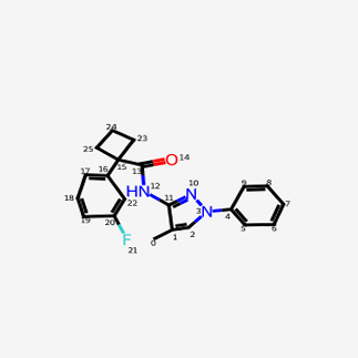 Cc1cn(-c2ccccc2)nc1NC(=O)C1(c2cccc(F)c2)CCC1